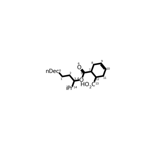 CCCCCCCCCCCCC(OC(=O)C1CC=CCC1C(=O)O)C(C)C